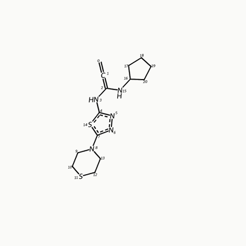 C=C=C(Nc1nnc(N2CCSCC2)s1)NC1CCCC1